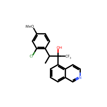 COc1ccc(C(C)C(O)(c2cccc3cnccc23)C(F)(F)F)c(Cl)c1